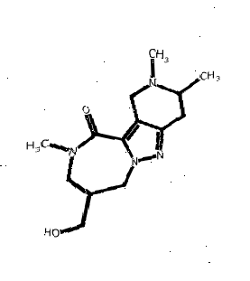 CC1Cc2nn3c(c2CN1C)C(=O)N(C)CC(CO)C3